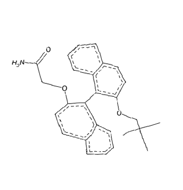 CC(C)(C)COc1ccc2ccccc2c1-c1c(OCC(N)=O)ccc2ccccc12